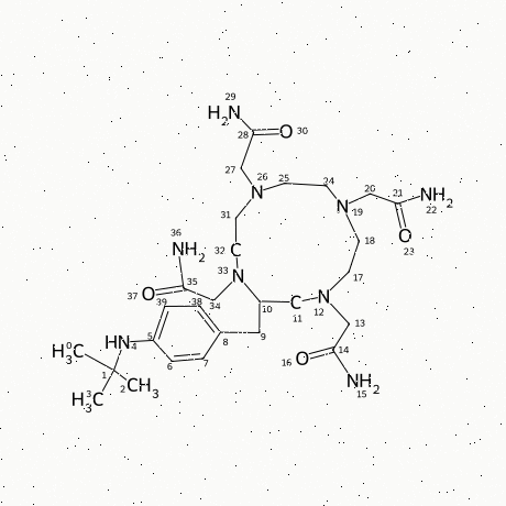 CC(C)(C)Nc1ccc(CC2CN(CC(N)=O)CCN(CC(N)=O)CCN(CC(N)=O)CCN2CC(N)=O)cc1